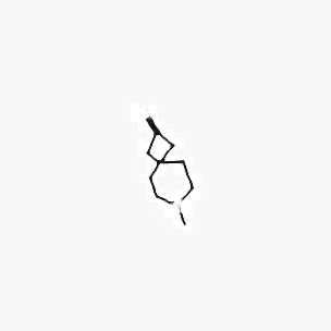 CN1CCC2(CC1)CC(=O)C2